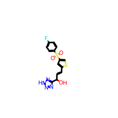 O=S(=O)(c1ccc(F)cc1)c1csc(C=CC(O)c2nn[nH]n2)c1